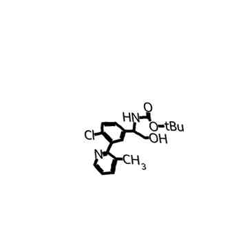 Cc1cccnc1-c1cc(C(CO)NC(=O)OC(C)(C)C)ccc1Cl